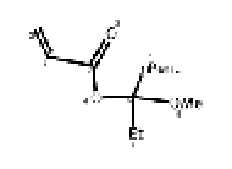 C=CC(=O)OC(CC)(CCCCC)OC